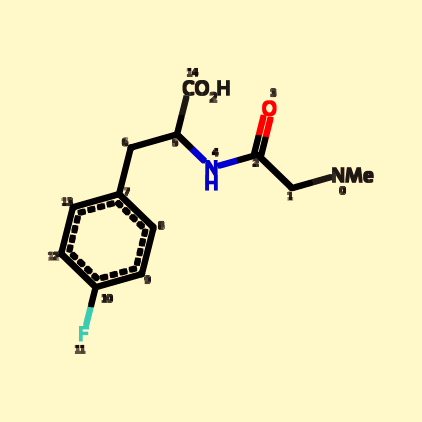 CNCC(=O)NC(Cc1ccc(F)cc1)C(=O)O